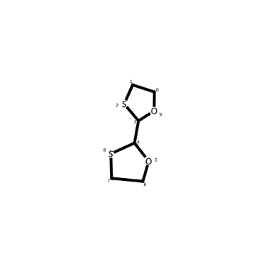 C1CSC(C2OCCS2)O1